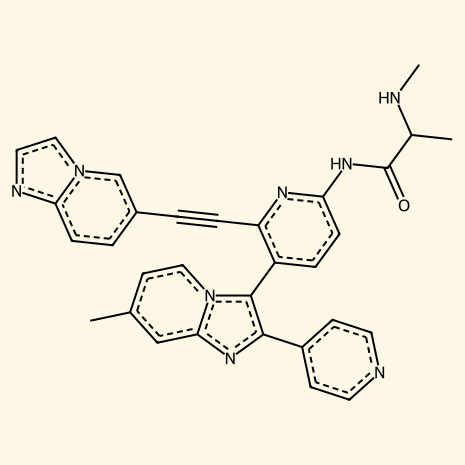 CNC(C)C(=O)Nc1ccc(-c2c(-c3ccncc3)nc3cc(C)ccn23)c(C#Cc2ccc3nccn3c2)n1